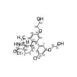 CC[C@@]12CC[C@@H](c3ccc(OCCO)cc3Cl)[C@H](c3ccc(OCCO)cc3)[C@@H]1[C@@H](C)NC2=O